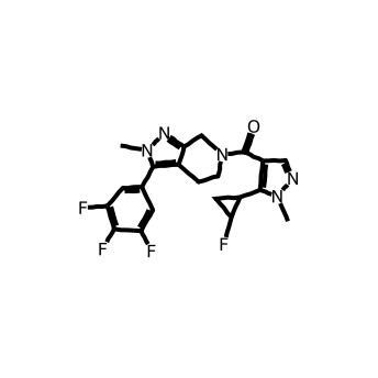 Cn1nc2c(c1-c1cc(F)c(F)c(F)c1)CCN(C(=O)c1cnn(C)c1C1CC1F)C2